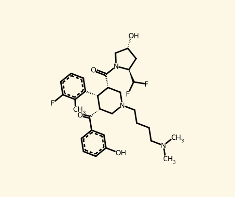 Cc1c(F)cccc1[C@H]1[C@@H](C(=O)c2cccc(O)c2)CN(CCCCN(C)C)C[C@H]1C(=O)N1C[C@H](O)C[C@H]1C(F)F